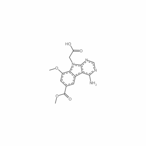 COC(=O)c1cc(OC)c2c(c1)c1c(N)ncnc1n2CC(=O)O